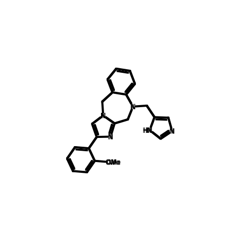 COc1ccccc1-c1cn2c(n1)CN(Cc1cnc[nH]1)c1ccccc1C2